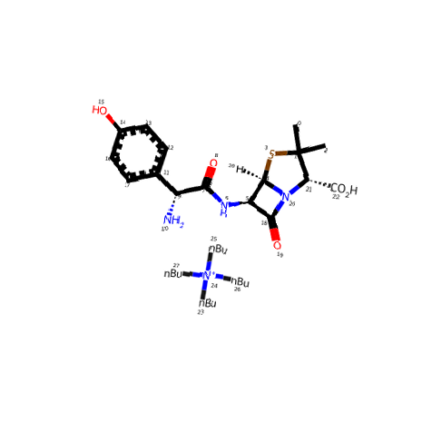 CC1(C)S[C@@H]2[C@H](NC(=O)[C@H](N)c3ccc(O)cc3)C(=O)N2[C@H]1C(=O)O.CCCC[N+](CCCC)(CCCC)CCCC